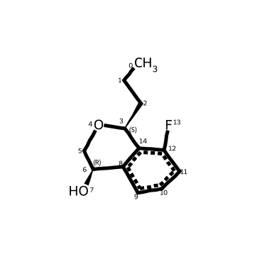 CCC[C@@H]1OC[C@H](O)c2cccc(F)c21